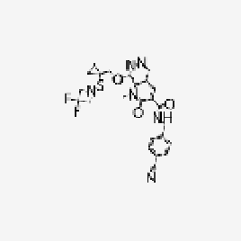 Cn1c(=O)c(C(=O)NCc2ccc(C#N)cc2)cc2cnnc(OCC3(SN4CC(F)(F)C4)CC3)c21